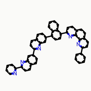 c1ccc(-c2ccc3ccc4ccc(-c5ccc(-c6ccc7ccc(-c8ccc9ccc(-c%10ccccn%10)nc9c8)nc7c6)c6ccccc56)nc4c3n2)cc1